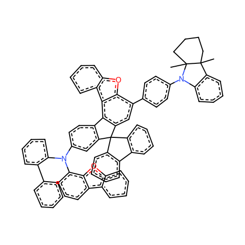 CC12CCCCC1(C)N(c1ccc(-c3cc4c(c5c3oc3ccccc35)-c3ccc(N(c5ccccc5-c5ccccc5)c5cccc6c5oc5ccccc56)cc3C43c4ccccc4-c4ccccc43)cc1)c1ccccc12